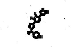 O=C(N1CCNCC1)N1CCC(c2ccc(-c3cn[nH]c3)c(F)c2F)C1